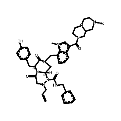 C=CCN1CC(=O)N2[C@@H](Cc3ccc(O)cc3)C(=O)N(Cc3cccc4c(C(=O)N5CCN6CCN(C(C)=O)CC6C5)cn(C)c34)C[C@@H]2N1C(=O)NCc1ccccc1